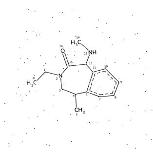 CCN1CC(C)c2ccccc2C(NC)C1=O